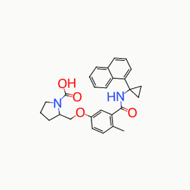 Cc1ccc(OCC2CCCN2C(=O)O)cc1C(=O)NC1(c2cccc3ccccc23)CC1